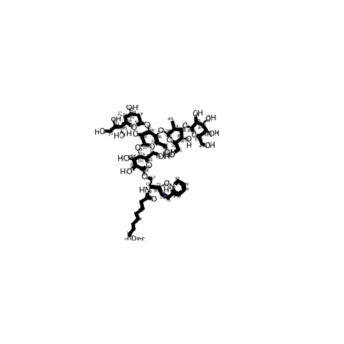 CCCCCCCCCCCCCCCCCC(=O)N[C@@H](CO[C@@H]1OC(CO)[C@@H](O[C@@H]2OC(CO)[C@H](O[C@@H]3OC(CO)[C@H](O)[C@H](O[C@@H]4OC(CO)[C@H](O)[C@H](O)C4O)C3C)[C@H](OC3C[C@@H](O)[C@@H](C)C([C@H](O)[C@H](O)CO)O3)C2O)[C@H](O)C1O)[C@H](O)/C=C\c1ccccn1